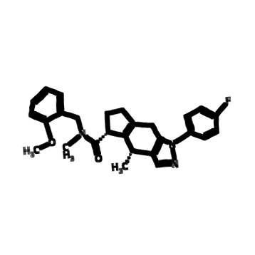 COc1ccccc1CN(C)C(=O)[C@@H]1CCC2=C1[C@@H](C)c1cnn(-c3ccc(F)cc3)c1C2